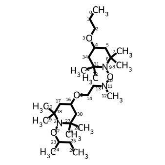 CCCOC1CC(C)(C)N(ON(C)CCOC2CC(C)(C)N(OC(C)CC)C(C)(C)C2)C(C)(C)C1